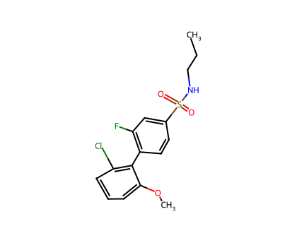 CCCNS(=O)(=O)c1ccc(-c2c(Cl)cccc2OC)c(F)c1